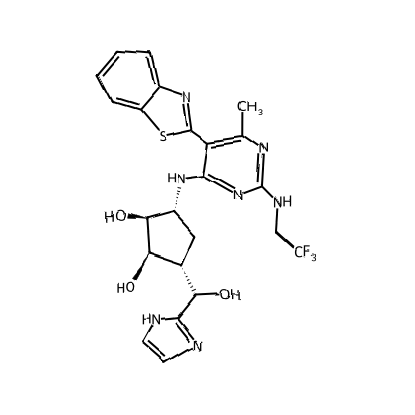 Cc1nc(NCC(F)(F)F)nc(N[C@@H]2C[C@H](C(O)c3ncc[nH]3)[C@@H](O)[C@H]2O)c1-c1nc2ccccc2s1